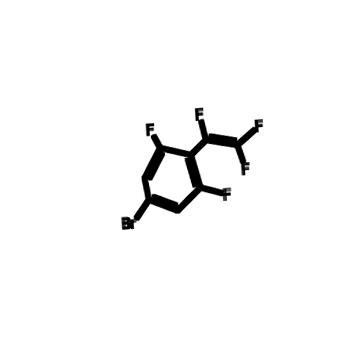 FC(F)=C(F)c1c(F)cc(Br)cc1F